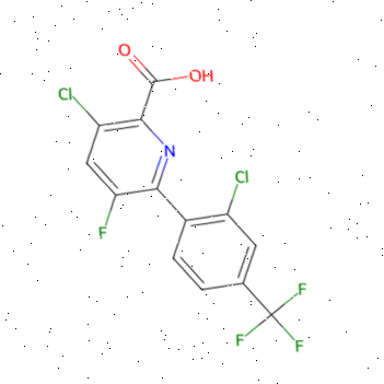 O=C(O)c1nc(-c2ccc(C(F)(F)F)cc2Cl)c(F)cc1Cl